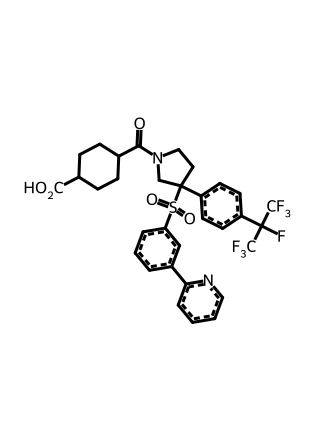 O=C(O)C1CCC(C(=O)N2CCC(c3ccc(C(F)(C(F)(F)F)C(F)(F)F)cc3)(S(=O)(=O)c3cccc(-c4ccccn4)c3)C2)CC1